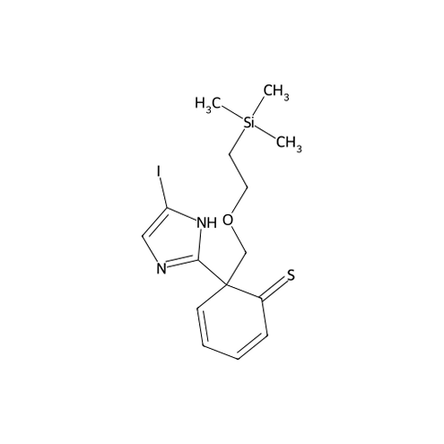 C[Si](C)(C)CCOCC1(c2ncc(I)[nH]2)C=CC=CC1=S